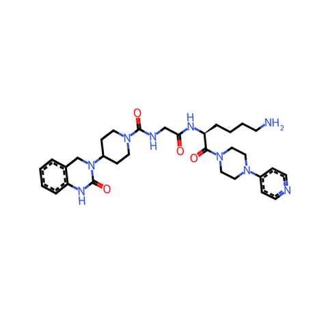 NCCCC[C@H](NC(=O)CNC(=O)N1CCC(N2Cc3ccccc3NC2=O)CC1)C(=O)N1CCN(c2ccncc2)CC1